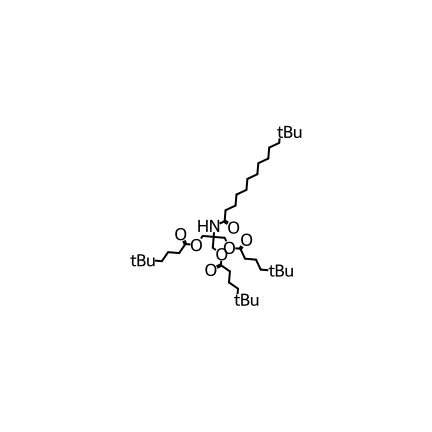 CC(C)(C)CCCCCCCCCCC(=O)NC(COC(=O)CCCC(C)(C)C)(COC(=O)CCCC(C)(C)C)COC(=O)CCCC(C)(C)C